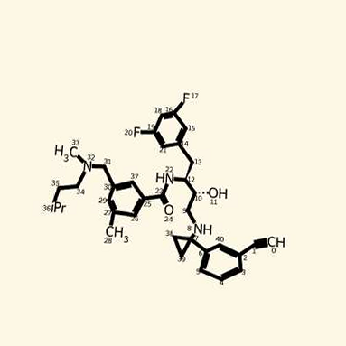 C#Cc1cccc(C2(NC[C@@H](O)[C@H](Cc3cc(F)cc(F)c3)NC(=O)c3cc(C)cc(CN(C)CCC(C)C)c3)CC2)c1